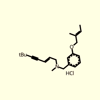 C/C=C(\C)COc1cccc(CN(C)C/C=C/C#CC(C)(C)C)c1.Cl